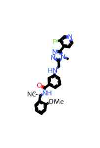 COc1ccccc1[C@H](C#N)NC(=O)c1cccc(NCc2nnc(-c3ccncc3F)n2C)c1